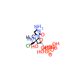 Cc1cc(N)nc(=O)n1[C@@H]1O[C@H](COP(=O)(O)OP(=O)(O)OP(=O)(O)O)C(O)C1(N)C#CCl